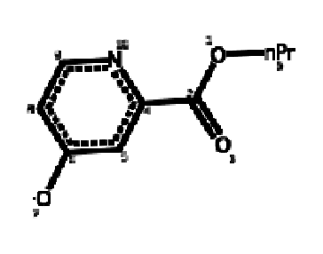 CCCOC(=O)c1cc([O])ccn1